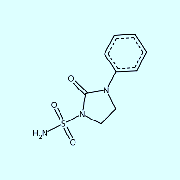 NS(=O)(=O)N1CCN(c2ccccc2)C1=O